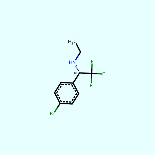 CCN[C@@H](c1ccc(Br)cc1)C(F)(F)F